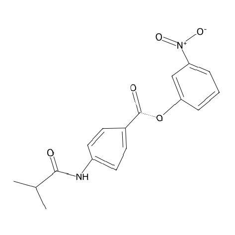 CC(C)C(=O)Nc1ccc(C(=O)Oc2cccc([N+](=O)[O-])c2)cc1